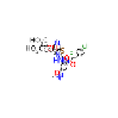 Cc1nnc([C@H]2CC[C@H](NC(=O)C(F)=Cc3ccc(Cl)cc3)[C@H](NC(=O)c3nc4c(s3)CN(C)CC4)C2)o1.O=C(O)CC(O)(CC(=O)O)C(=O)O